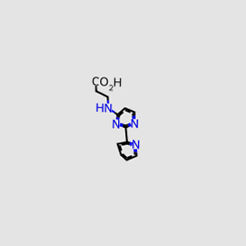 O=C(O)CCNc1ccnc(-c2ccccn2)n1